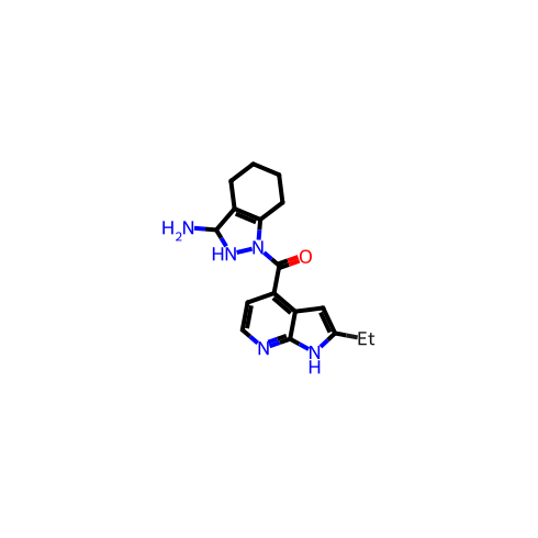 CCc1cc2c(C(=O)N3NC(N)C4=C3CCCC4)ccnc2[nH]1